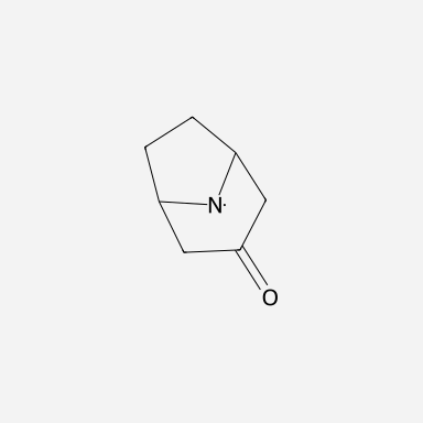 O=C1CC2CCC(C1)[N]2